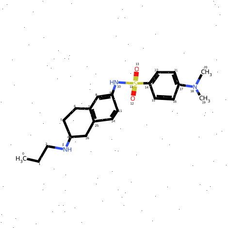 CCCNC1CCc2cc(NS(=O)(=O)c3ccc(N(C)C)cc3)ccc2C1